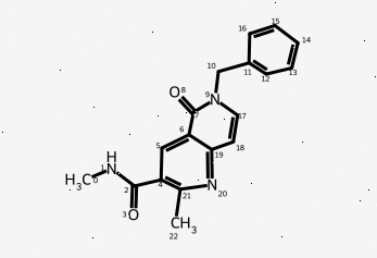 CNC(=O)c1cc2c(=O)n(Cc3ccccc3)ccc2nc1C